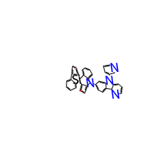 c1cncc(-n2c3cc(N4c5ccccc5[Si]5(c6ccccc6-c6ccccc65)c5ccccc54)ccc3c3ncccc32)c1